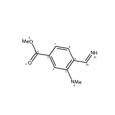 CNc1cc(C(=O)OC)ccc1C=N